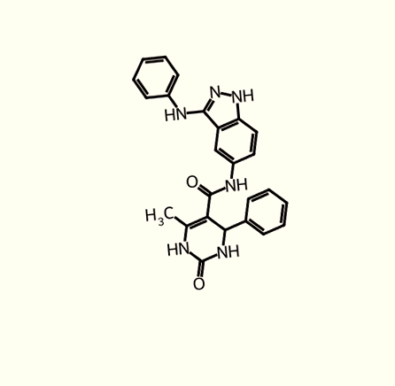 CC1=C(C(=O)Nc2ccc3[nH]nc(Nc4ccccc4)c3c2)C(c2ccccc2)NC(=O)N1